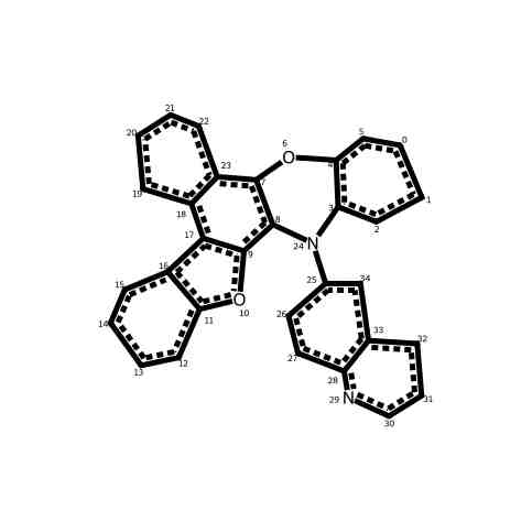 c1ccc2c(c1)Oc1c(c3oc4ccccc4c3c3ccccc13)N2c1ccc2ncccc2c1